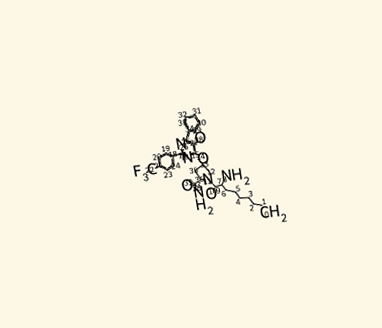 C=CCCCCC[C@H](N)C(=O)N1C[C@H](Oc2nc(-c3ccc(C(F)(F)F)cc3)nc3c2oc2ccccc23)C[C@H]1C(N)=O